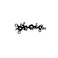 O=C1NOCC1NC(=S)c1ccc(C2=NCC(c3cc(Cl)c(F)c(Cl)c3)(C(F)F)C2)cn1